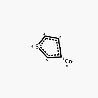 [Co].c1ccsc1